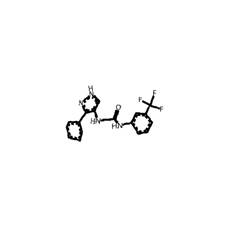 O=C(Nc1cccc(C(F)(F)F)c1)Nc1c[nH]nc1-c1ccccc1